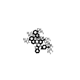 Cc1cc2c(cc1N1c3cc(C(C)(C)C)cc4c3B(c3ccc5c(c31)C(C)(C)CCC5(C)C)c1sc3ccccc3c1N4C13CC1C=C(C(C)(C)C)[C@@H](C)C3)C(C)(C)CCC2(C)C